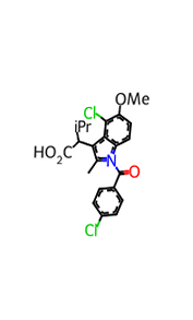 COc1ccc2c(c1Cl)c(C(C(=O)O)C(C)C)c(C)n2C(=O)c1ccc(Cl)cc1